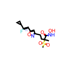 CC(CCc1cc(/C=C(\F)C2CC2)on1)(C(=O)NO)S(C)(=O)=O